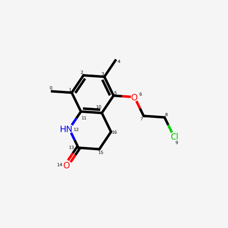 Cc1cc(C)c(OCCCl)c2c1NC(=O)CC2